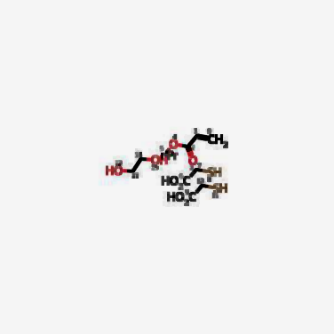 C=CC(=O)OCCC.O=C(O)CS.O=C(O)CS.OCCO